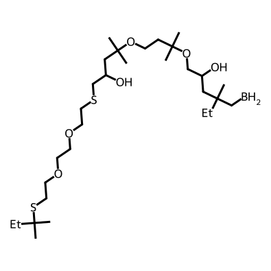 BCC(C)(CC)CC(O)COC(C)(C)CCOC(C)(C)CC(O)CSCCOCCOCCSC(C)(C)CC